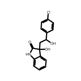 O=C1Nc2ccccc2C1(O)CC(O)c1ccc(Cl)cc1